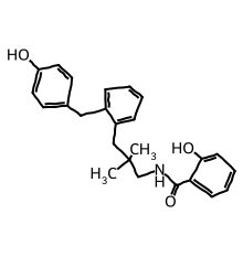 CC(C)(CNC(=O)c1ccccc1O)Cc1ccccc1Cc1ccc(O)cc1